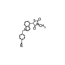 CN1C(=O)SC(c2cccc3c2ccn3Cc2ccc(C#N)cc2)C1=O